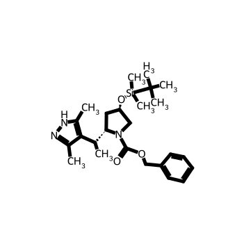 Cc1n[nH]c(C)c1C(C)[C@@H]1C[C@H](O[Si](C)(C)C(C)(C)C)CN1C(=O)OCc1ccccc1